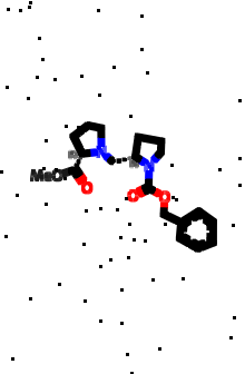 COC(=O)[C@@H]1CCCN1C[C@@H]1CCCN1C(=O)OCc1ccccc1